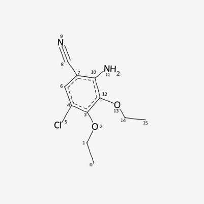 CCOc1c(Cl)cc(C#N)c(N)c1OCC